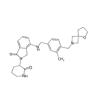 Cc1cc(CNc2cccc3c2CN(C2CCCNC2=O)C3=O)ccc1CN1CC2(CCCO2)C1